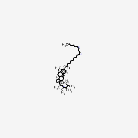 CCCCC/C=C\C/C=C\CCCCCCCC(=O)O[C@H]1CC[C@@]2(C)[C@@H](CC[C@@H]3[C@@H]2CC[C@]2(C)[C@@H]([C@H](C)/C=C(\C)[C@H](C)C(C)C)CC[C@@H]32)[C@@H]1C